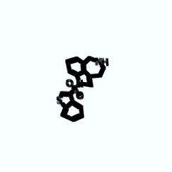 O=S(=O)(c1csc2ccccc12)n1cc2c3c(cccc31)CNCC2